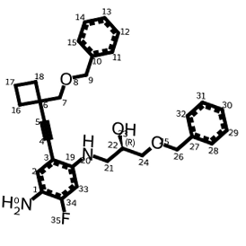 Nc1cc(C#CC2(COCc3ccccc3)CCC2)c(NC[C@@H](O)COCc2ccccc2)cc1F